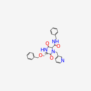 O=C(NCc1ccccc1)C1C(=O)N[C@@H](COCc2ccccc2)C(=O)N1Cc1cccnc1